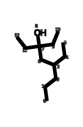 CCCC(CC)CC(O)(CC)CC